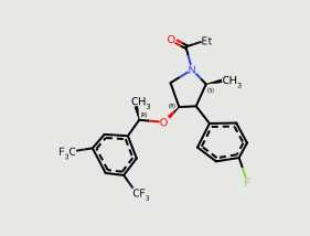 CCC(=O)N1C[C@H](O[C@H](C)c2cc(C(F)(F)F)cc(C(F)(F)F)c2)C(c2ccc(F)cc2)[C@@H]1C